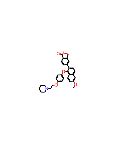 COc1ccc2c(Oc3ccc(OCCN4CCCCC4)cc3)c(-c3ccc4c(c3)COC4=O)ccc2c1